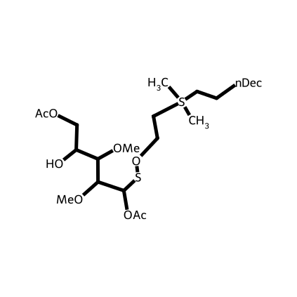 CCCCCCCCCCCCS(C)(C)CCOSC(OC(C)=O)C(OC)C(OC)C(O)COC(C)=O